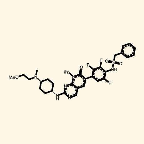 COCCN(C)[C@H]1CC[C@H](Nc2ncc3cc(-c4cc(F)c(NS(=O)(=O)Cc5ccccc5)c(F)c4F)c(=O)n(C(C)C)c3n2)CC1